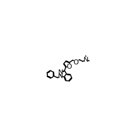 CN(C)CCOCc1ccc(-c2nn(Cc3ccccc3)c3ccccc23)o1